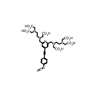 O=C(O)CN(CCN(CC(=O)O)Cc1cc(C#Cc2ccc(N=C=S)cc2)cc(CN(CCN(CC(=O)O)CC(=O)O)CC(=O)O)n1)CC(=O)O